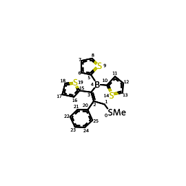 CSC/C(=C(\B(c1cccs1)c1cccs1)c1cccs1)c1ccccc1